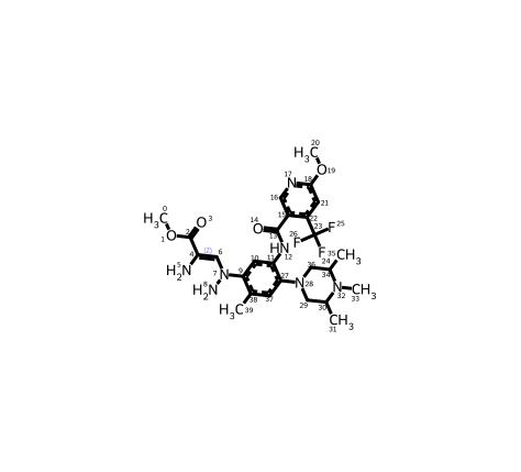 COC(=O)/C(N)=C/N(N)c1cc(NC(=O)c2cnc(OC)cc2C(F)(F)F)c(N2CC(C)N(C)C(C)C2)cc1C